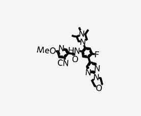 COc1cc(C#N)c(C(=O)Nc2cc(-c3cnc(N4CCOCC4)nc3)c(F)cc2N2CC(C)N(C)C(C)C2)cn1